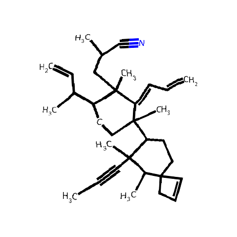 C=C/C=C1/C(C)(CC(C)C#N)C(C(C)C=C)CCC1(C)C1CCC2(C=CC2)C(C)C1(C)C#CC